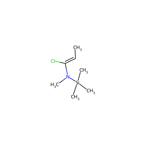 CC=C(Cl)N(C)[Si](C)(C)C